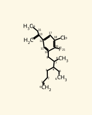 C=CCCC(CC)C(C)Cc1cc(C(=C)CC)cc(Cl)c1F